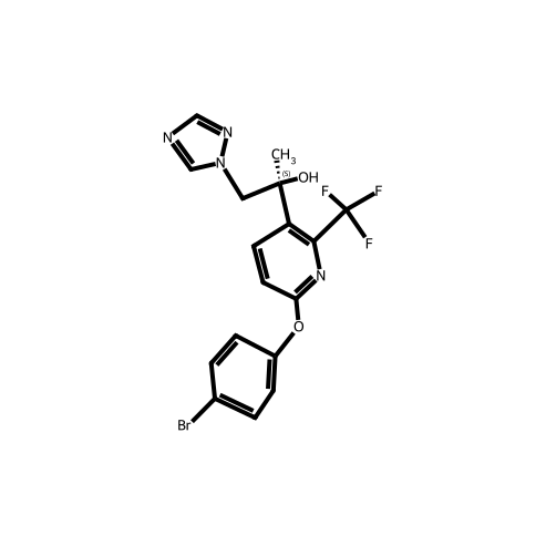 C[C@@](O)(Cn1cncn1)c1ccc(Oc2ccc(Br)cc2)nc1C(F)(F)F